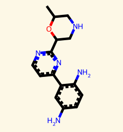 CC1CNCC(c2nccc(-c3cc(N)ccc3N)n2)O1